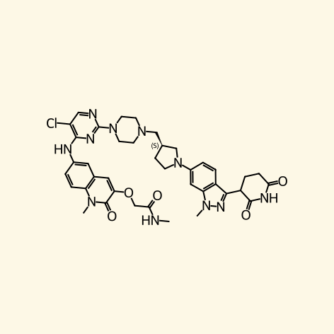 CNC(=O)COc1cc2cc(Nc3nc(N4CCN(C[C@@H]5CCN(c6ccc7c(C8CCC(=O)NC8=O)nn(C)c7c6)C5)CC4)ncc3Cl)ccc2n(C)c1=O